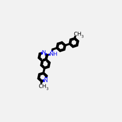 Cc1cccc(-c2ccc(CNc3nccc4cc(-c5ccc(C)nc5)ccc34)cc2)c1